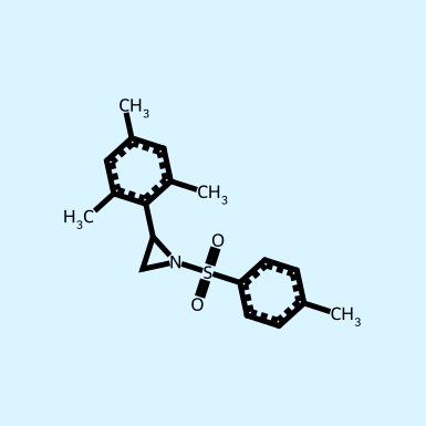 Cc1ccc(S(=O)(=O)N2CC2c2c(C)cc(C)cc2C)cc1